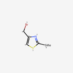 CSc1nc(CBr)cs1